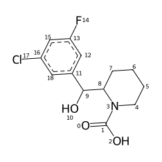 O=C(O)N1CCCCC1C(O)c1cc(F)cc(Cl)c1